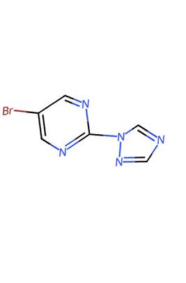 Brc1cnc(-n2cncn2)nc1